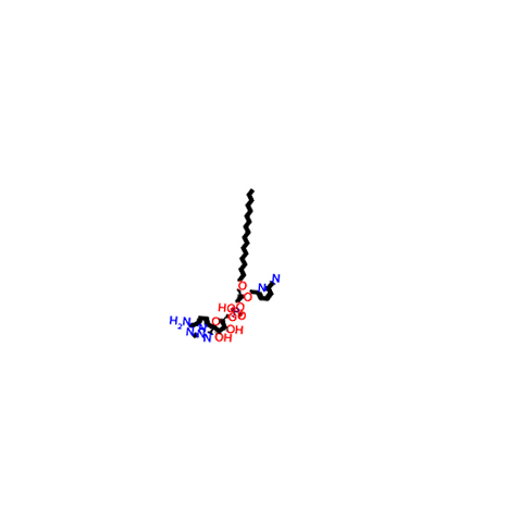 CCCCCCCCCCCCCCCCCCOC[C@H](COP(=O)(O)OC[C@H]1O[C@@](C#N)(c2ccc3c(N)ncnn23)[C@H](O)[C@@H]1O)OCc1cccc(C#N)n1